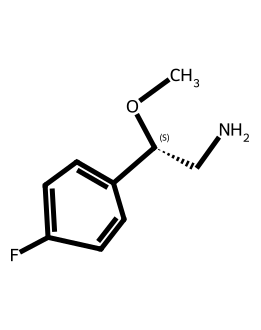 CO[C@H](CN)c1ccc(F)cc1